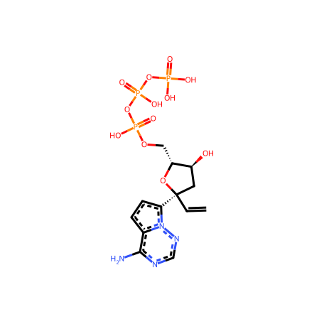 C=C[C@]1(c2ccc3c(N)ncnn23)C[C@H](O)[C@@H](COP(=O)(O)OP(=O)(O)OP(=O)(O)O)O1